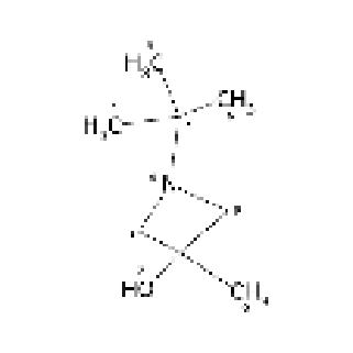 CC1(O)CN(C(C)(C)C)C1